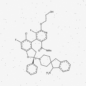 CNC(=O)c1cnc(OCCO)c(F)c1-c1c(Cl)c(F)cc2c1C[C@](c1ccccc1)(N1CCC3(CC1)Cc1ccccc1C3N)O2